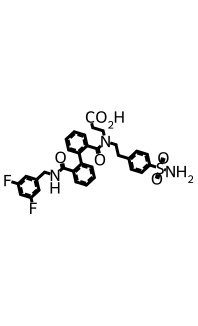 NS(=O)(=O)c1ccc(CCN(CCC(=O)O)C(=O)c2ccccc2-c2ccccc2C(=O)NCc2cc(F)cc(F)c2)cc1